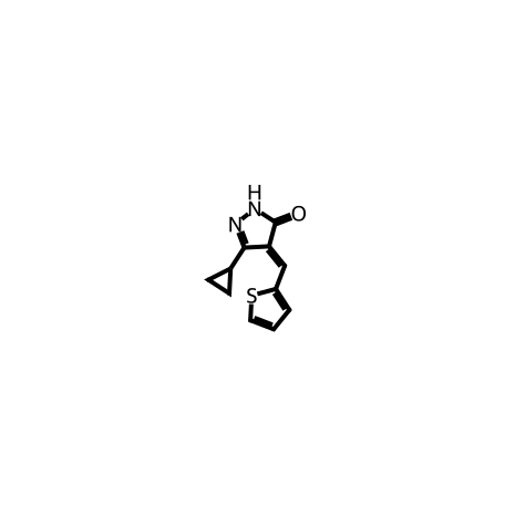 O=C1NN=C(C2CC2)/C1=C\c1cccs1